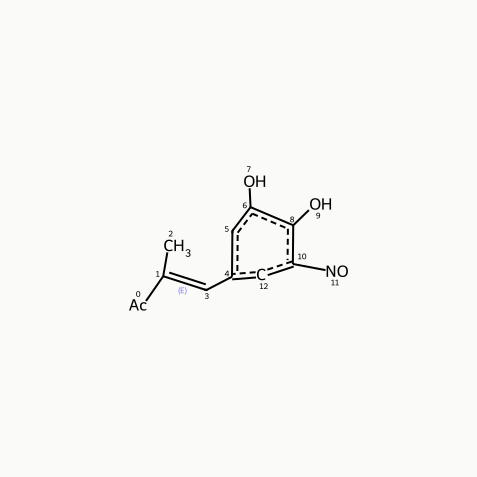 CC(=O)/C(C)=C/c1cc(O)c(O)c(N=O)c1